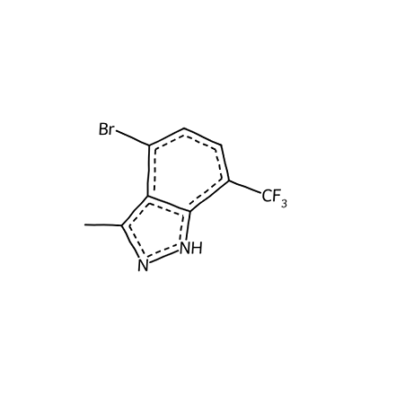 Cc1n[nH]c2c(C(F)(F)F)ccc(Br)c12